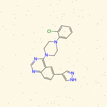 Clc1ccccc1N1CCN(c2ncnc3ccc(-c4cn[nH]c4)cc23)CC1